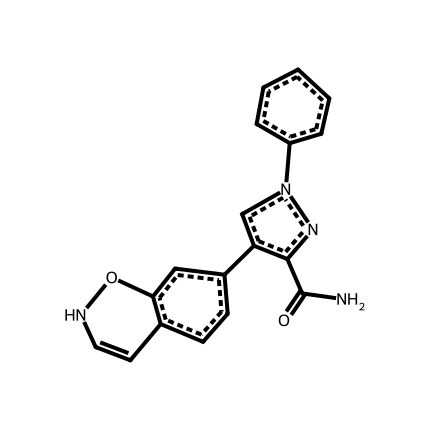 NC(=O)c1nn(-c2ccccc2)cc1-c1ccc2c(c1)ONC=C2